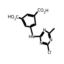 Cc1nc(Cl)nc(Nc2cc(C(=O)O)cc(C(=O)O)c2)n1